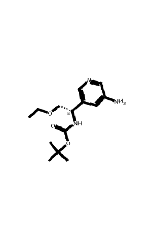 CCOC[C@@H](NC(=O)OC(C)(C)C)c1cncc(N)c1